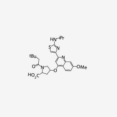 COc1ccc2c(OC3CC(C(=O)O)N(C(=O)CC(C)(C)C)C3)cc(-c3csc(NC(C)C)n3)nc2c1